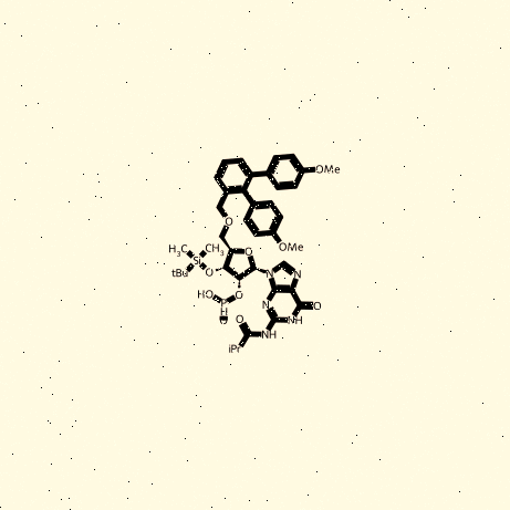 COc1ccc(-c2cccc(COC[C@H]3O[C@@H](n4cnc5c(=O)[nH]c(NC(=O)C(C)C)nc54)[C@H](O[PH](=O)O)[C@@H]3O[Si](C)(C)C(C)(C)C)c2-c2ccc(OC)cc2)cc1